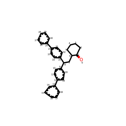 O=C1CCCCC1CC(c1ccc(-c2ccccc2)cc1)c1ccc(-c2ccccc2)cc1